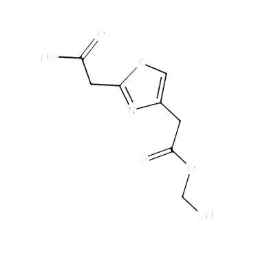 CCOC(=O)Cc1csc(CC(=O)O)n1